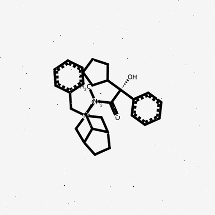 CN(CC1C2CCC1C[N+](C)(Cc1ccccc1)C2)C(=O)[C@](O)(c1ccccc1)C1CCCC1